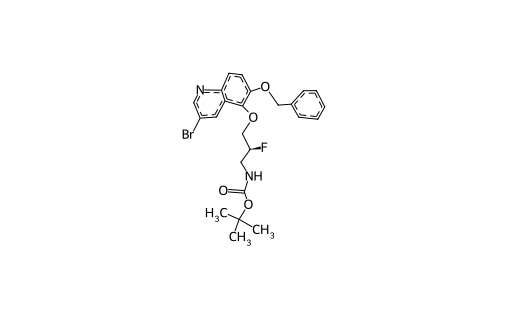 CC(C)(C)OC(=O)NC[C@H](F)COc1c(OCc2ccccc2)ccc2ncc(Br)cc12